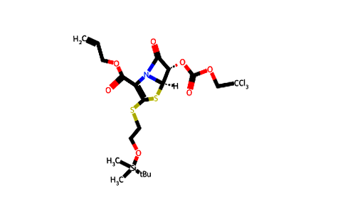 C=CCOC(=O)C1=C(SCCO[Si](C)(C)C(C)(C)C)S[C@@H]2[C@@H](OC(=O)OCC(Cl)(Cl)Cl)C(=O)N12